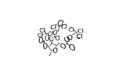 C[C@@H]1O[C@H](COC(=O)OOCC(Cl)(Cl)Cl)[C@H](OC(=O)OCC(Cl)(Cl)Cl)C1OC(=O)OC(Cl)(Cl)Cl